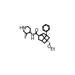 CCOC[C@]12CC3CC4(C(=O)N[C@@H]5CCNC[C@@H]5F)CC31[C@](c1ccccc1)(C4)C2